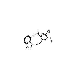 FSc1cc2c(nc1Cl)NCc1cccc3c1C(CC2)CO3